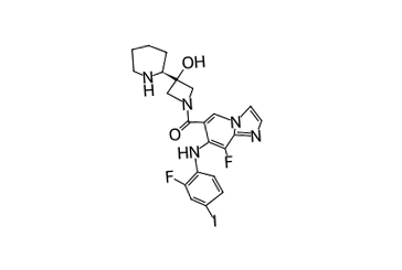 O=C(c1cn2ccnc2c(F)c1Nc1ccc(I)cc1F)N1CC(O)([C@@H]2CCCCN2)C1